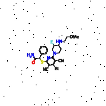 CCc1c(C#N)c(SC(C(N)=O)c2ccccc2)nc(N2CCC(NCCOC)C(F)C2)c1C#N